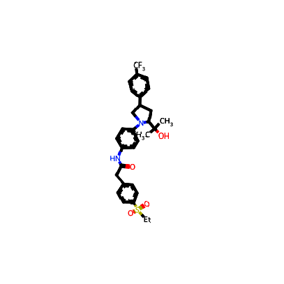 CCS(=O)(=O)c1ccc(CC(=O)Nc2ccc(N3CC(c4ccc(C(F)(F)F)cc4)CC3C(C)(C)O)cc2)cc1